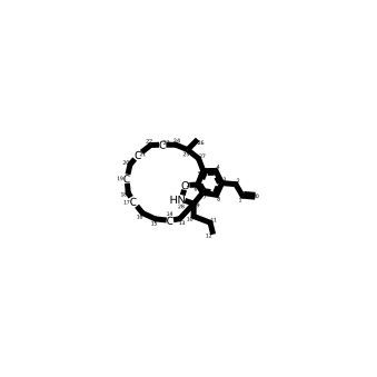 C=CCc1cc2c3c(c1)C(CCC)(CCCCCCCCCCCCC(C)C2)NO3